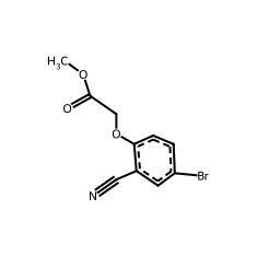 COC(=O)COc1ccc(Br)cc1C#N